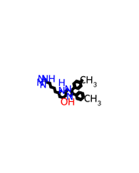 Cc1ccc(-c2nc3c(nc2-c2ccc(C)cc2)C(O)CC(CCCCc2nnn[nH]2)N3)cc1